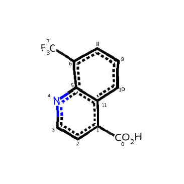 O=C(O)c1ccnc2c(C(F)(F)F)cccc12